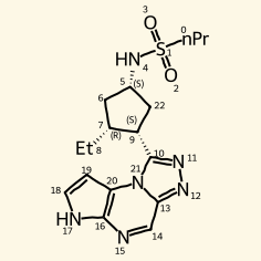 CCCS(=O)(=O)N[C@H]1C[C@@H](CC)[C@@H](c2nnc3cnc4[nH]ccc4n23)C1